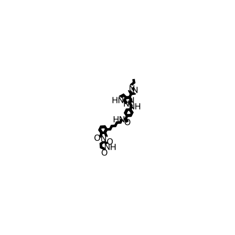 CCCn1cc(-c2nc(Nc3ccc(C(=O)NCCCCCc4cccc5c4CN(C4CCC(=O)NC4=O)C5=O)cc3)nc3[nH]ccc23)cn1